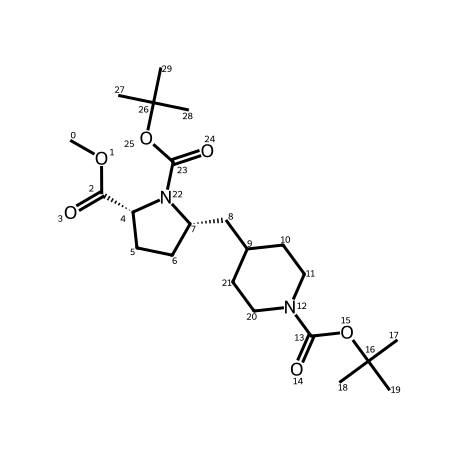 COC(=O)[C@H]1CC[C@@H](CC2CCN(C(=O)OC(C)(C)C)CC2)N1C(=O)OC(C)(C)C